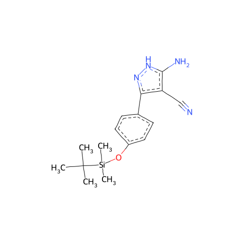 CC(C)(C)[Si](C)(C)Oc1ccc(-c2n[nH]c(N)c2C#N)cc1